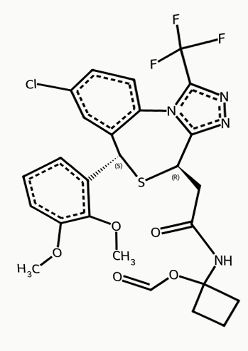 COc1cccc([C@H]2S[C@H](CC(=O)NC3(OC=O)CCC3)c3nnc(C(F)(F)F)n3-c3ccc(Cl)cc32)c1OC